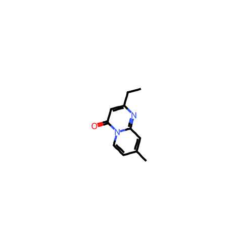 CCc1cc(=O)n2ccc(C)cc2n1